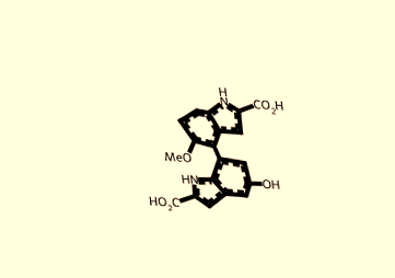 COc1ccc2[nH]c(C(=O)O)cc2c1-c1cc(O)cc2cc(C(=O)O)[nH]c12